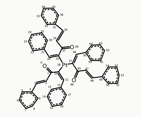 O=C(C=Cc1ccccc1)[C](=Cc1ccccc1)[Pt]([C](=Cc1ccccc1)C(=O)C=Cc1ccccc1)[C](=Cc1ccccc1)C(=O)C=Cc1ccccc1